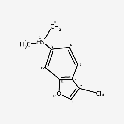 C[SH](C)c1ccc2c(Cl)coc2c1